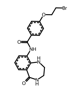 O=C(Nc1cccc2c1NCCNC2=O)c1ccc(OCCBr)cc1